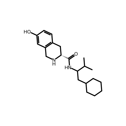 CC(C)C(CC1CCCCC1)NC(=O)[C@H]1Cc2ccc(O)cc2CN1